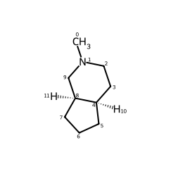 CN1CC[C@H]2CCC[C@H]2C1